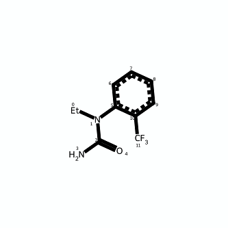 [CH2]CN(C(N)=O)c1ccccc1C(F)(F)F